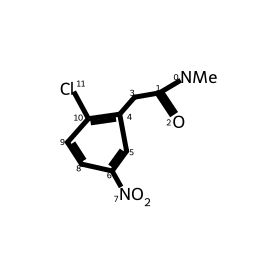 CNC(=O)Cc1cc([N+](=O)[O-])ccc1Cl